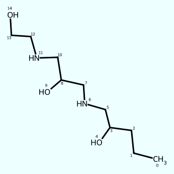 CCCC(O)CNCC(O)CNCCO